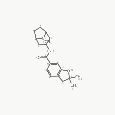 CN1C2CCC1CC(NC(=O)c1ccc3c(c1)OC(C)(C)C3)C2